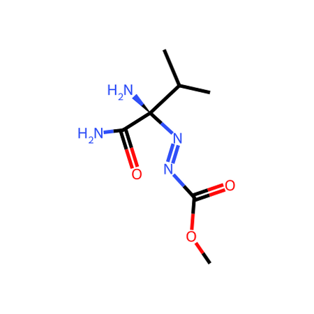 COC(=O)N=N[C@](N)(C(N)=O)C(C)C